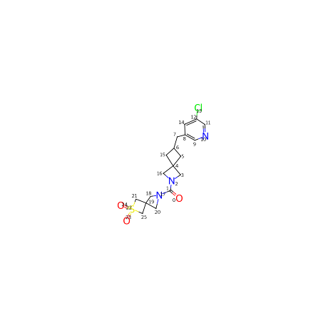 O=C(N1CC2(CC(Cc3cncc(Cl)c3)C2)C1)N1CC2(C1)CS(=O)(=O)C2